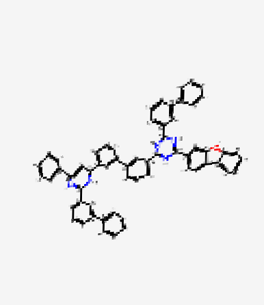 c1ccc(-c2cccc(-c3nc(-c4ccccc4)cc(-c4cccc(-c5cccc(-c6nc(-c7cccc(-c8ccccc8)c7)nc(-c7ccc8c(c7)oc7ccccc78)n6)c5)c4)n3)c2)cc1